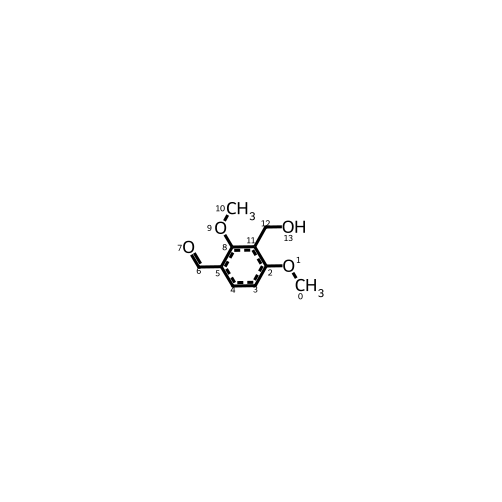 COc1ccc(C=O)c(OC)c1CO